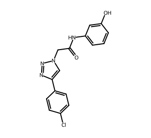 O=C(Cn1cc(-c2ccc(Cl)cc2)nn1)Nc1cccc(O)c1